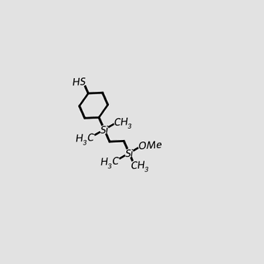 CO[Si](C)(C)CC[Si](C)(C)C1CCC(S)CC1